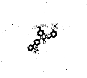 CS(=O)(=O)c1ccccc1-c1ccc(NC(=O)N(Cc2cccc(OC(F)(F)F)c2)Nc2cccc(C(=N)N)c2)cc1